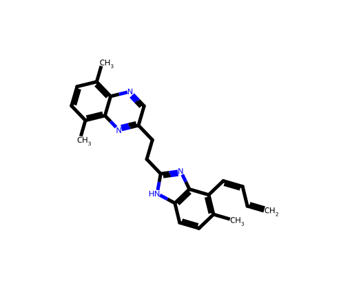 C=C/C=C\c1c(C)ccc2[nH]c(CCc3cnc4c(C)ccc(C)c4n3)nc12